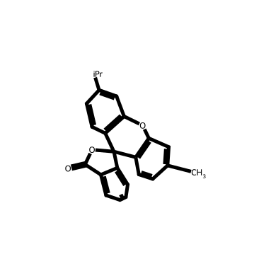 Cc1ccc2c(c1)Oc1cc(C(C)C)ccc1C21OC(=O)c2ccccc21